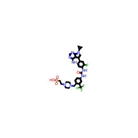 Nc1ncnc2c1c(-c1ccc(NC(=O)Nc3ccc(CN4CCN(CCS(=O)(=O)O)CC4)c(C(F)(F)F)c3)c(F)c1)cn2C1CC1